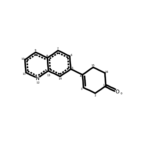 O=C1CC=C(c2ccc3cccnc3c2)CC1